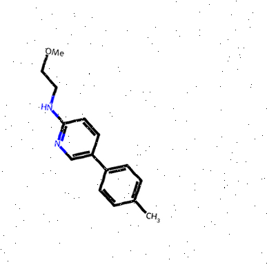 COCCNc1ccc(-c2ccc(C)cc2)cn1